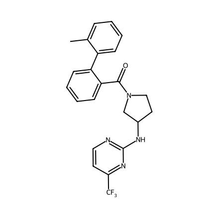 Cc1ccccc1-c1ccccc1C(=O)N1CCC(Nc2nccc(C(F)(F)F)n2)C1